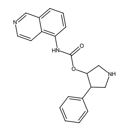 O=C(Nc1cccc2cnccc12)OC1CNCC1c1ccccc1